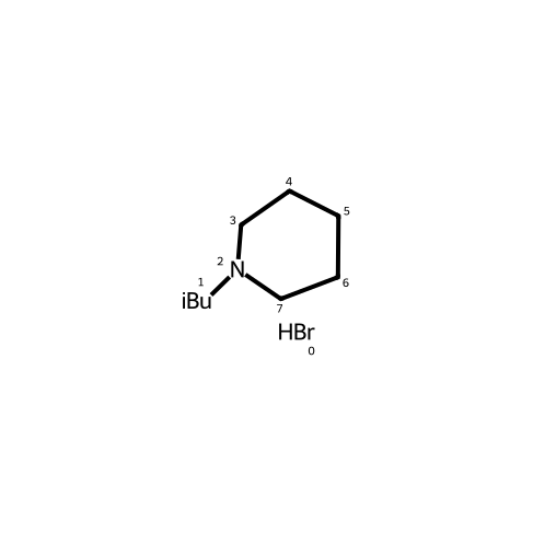 Br.CCC(C)N1CCCCC1